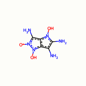 Nc1c(N)n(O)c2c(N)[n+]([O-])n(O)c12